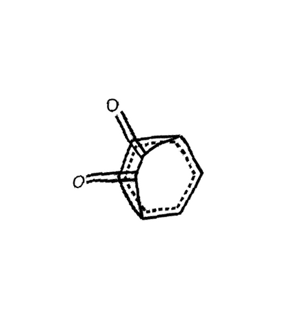 O=C1C(=O)c2ccc1cc2